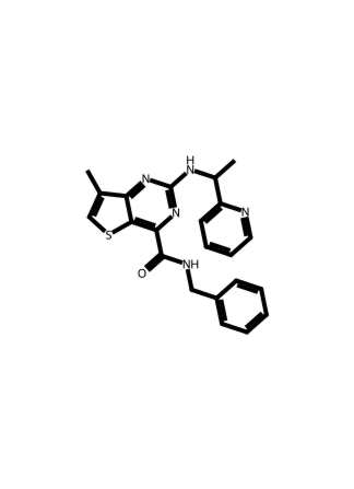 Cc1csc2c(C(=O)NCc3ccccc3)nc(NC(C)c3ccccn3)nc12